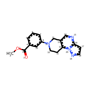 COC(=O)c1cccc(N2CCc3c(cnc4ccnn34)C2)c1